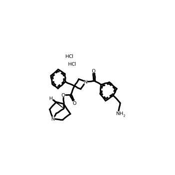 Cl.Cl.NCc1ccc(C(=O)N2CC(C(=O)O[C@H]3CN4CCC3CC4)(c3ccccc3)C2)cc1